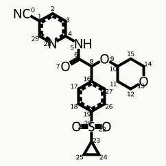 N#Cc1ccc(NC(=O)C(OC2CCOCC2)c2ccc(S(=O)(=O)C3CC3)cc2)nc1